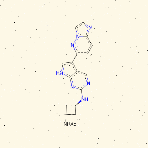 CC(=O)N[C@]1(C)C[C@@H](Nc2ncc3c(-c4ccc5nccn5n4)c[nH]c3n2)C1